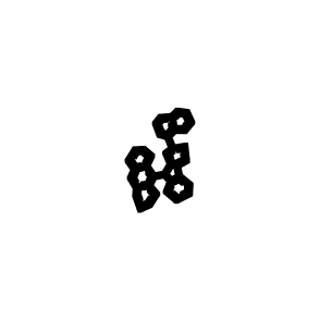 c1ccc2c(c1)-c1ccc(-c3cccc4ccccc34)cc1C2c1c2ccccc2cc2ccccc12